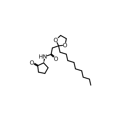 CCCCCCCCCC1(CC(=O)N[C@H]2CCCC2=O)OCCO1